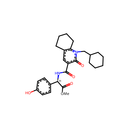 COC(=O)[C@H](NC(=O)c1cc2c(n(CC3CCCCC3)c1=O)CCCC2)c1ccc(O)cc1